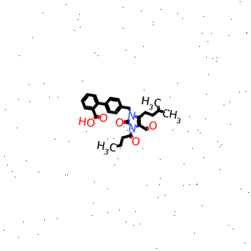 CCCC(=O)n1c(C=O)c(CCC(C)C)n(Cc2ccc(-c3ccccc3C(=O)O)cc2)c1=O